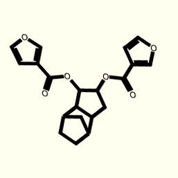 O=C(OC1CC2C3CCC(C3)C2C1OC(=O)c1ccoc1)c1ccoc1